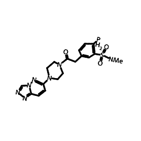 CNS(=O)(=O)c1cc(CC(=O)N2CCN(c3ccc4nncn4n3)CC2)ccc1P